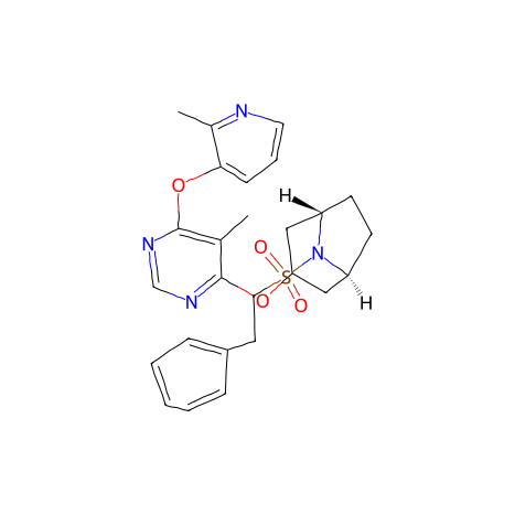 Cc1ncccc1Oc1ncnc(OC2C[C@@H]3CC[C@@H](C2)N3S(=O)(=O)CCc2ccccc2)c1C